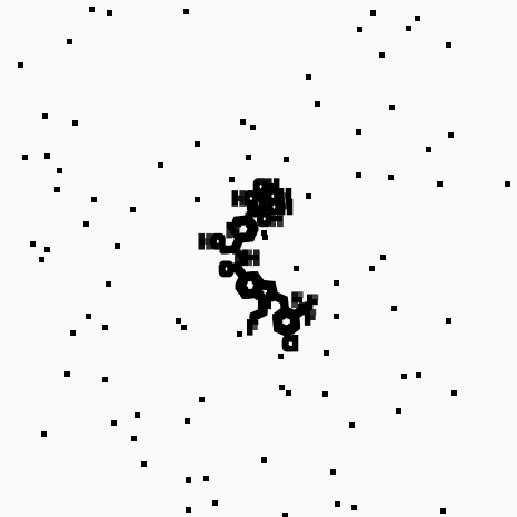 O=C(NC(CO)c1ccc(SC(O)(O)C(O)(O)O)cn1)c1ccc2c(c1)cc(Cc1ccc(Cl)cc1C(F)(F)F)n2CCF